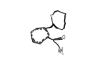 NC(=O)c1ccccc1C1CCCCO1